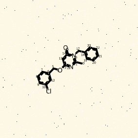 Cc1nc(OCc2cccc(Cl)c2)cc(=O)n1Cc1ccccc1